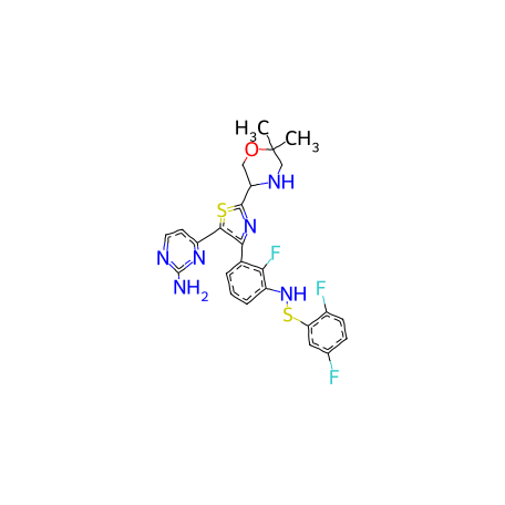 CC1(C)CNC(c2nc(-c3cccc(NSc4cc(F)ccc4F)c3F)c(-c3ccnc(N)n3)s2)CO1